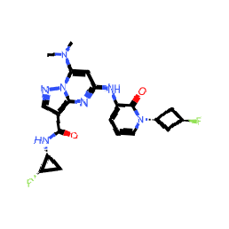 CN(C)c1cc(Nc2cccn([C@H]3C[C@H](F)C3)c2=O)nc2c(C(=O)N[C@@H]3C[C@@H]3F)cnn12